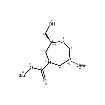 CO[C@H]1CO[C@H](CO)CN(C(=O)OC(C)(C)C)C1